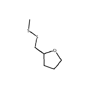 CSSCC1CCCO1